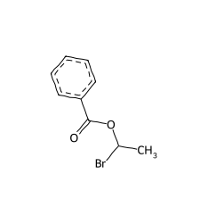 CC(Br)OC(=O)c1ccccc1